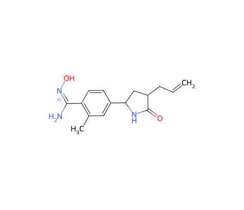 C=CCC1CC(c2ccc(/C(N)=N\O)c(C)c2)NC1=O